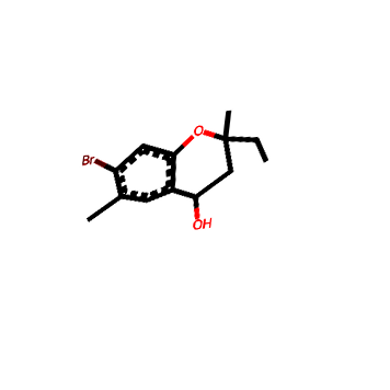 CCC1(C)CC(O)c2cc(C)c(Br)cc2O1